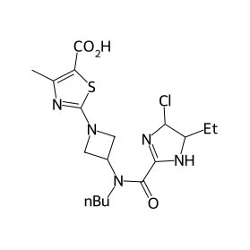 CCCCN(C(=O)C1=NC(Cl)C(CC)N1)C1CN(c2nc(C)c(C(=O)O)s2)C1